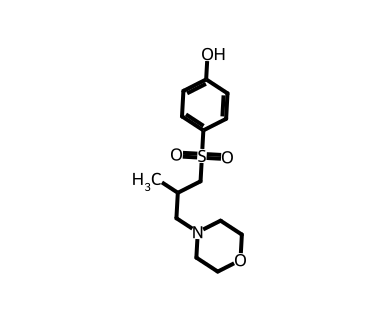 CC(CN1CCOCC1)CS(=O)(=O)c1ccc(O)cc1